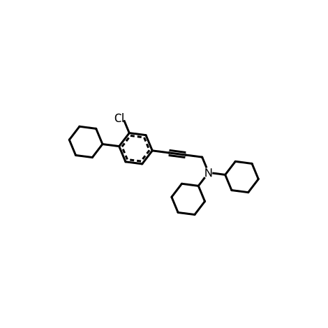 Clc1cc(C#CCN(C2CCCCC2)C2CCCCC2)ccc1C1CCCCC1